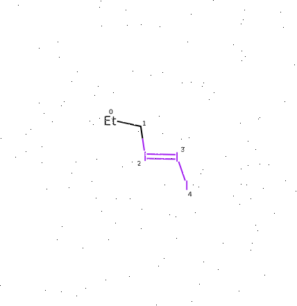 CCCI=II